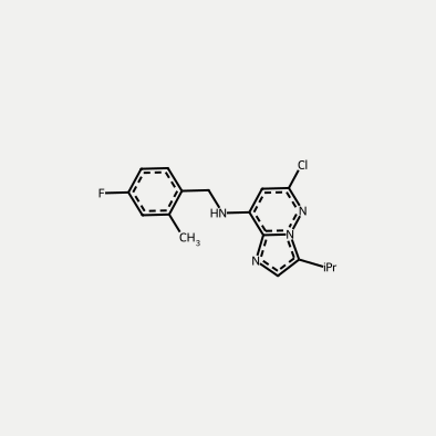 Cc1cc(F)ccc1CNc1cc(Cl)nn2c(C(C)C)cnc12